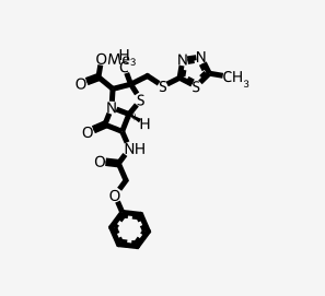 COC(=O)C1N2C(=O)C(NC(=O)COc3ccccc3)[C@H]2SC1(C)CSc1nnc(C)s1